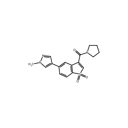 Cn1cc(-c2ccc3c(c2)C(C(=O)N2CCCC2)=CS3(=O)=O)cn1